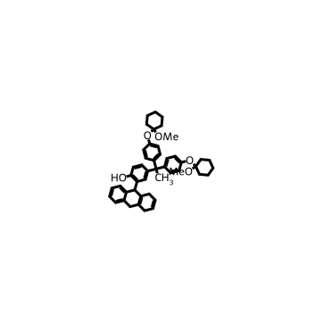 COC1(Oc2ccc(C(C)(c3ccc(OC4(OC)CCCCC4)cc3)c3ccc(O)c(C4C5=C(CC=CC5)Cc5ccccc54)c3)cc2)CCCCC1